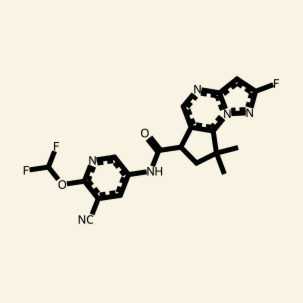 CC1(C)CC(C(=O)Nc2cnc(OC(F)F)c(C#N)c2)c2cnc3cc(F)nn3c21